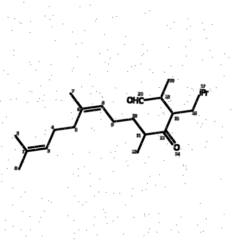 CC(C)=CCCC(C)=CCCC(C)C(=O)C(CC(C)C)C(C)C=O